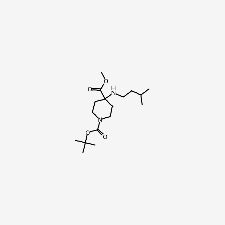 COC(=O)C1(NCCC(C)C)CCN(C(=O)OC(C)(C)C)CC1